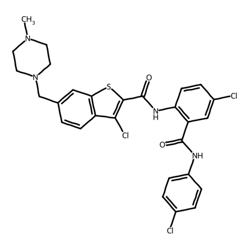 CN1CCN(Cc2ccc3c(Cl)c(C(=O)Nc4ccc(Cl)cc4C(=O)Nc4ccc(Cl)cc4)sc3c2)CC1